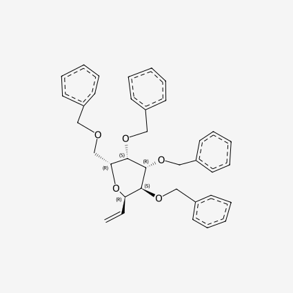 C=C[C@H]1O[C@H](COCc2ccccc2)[C@H](OCc2ccccc2)[C@H](OCc2ccccc2)[C@H]1OCc1ccccc1